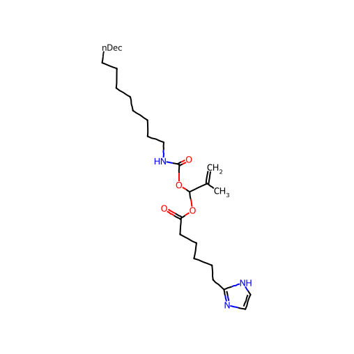 C=C(C)C(OC(=O)CCCCCc1ncc[nH]1)OC(=O)NCCCCCCCCCCCCCCCCCC